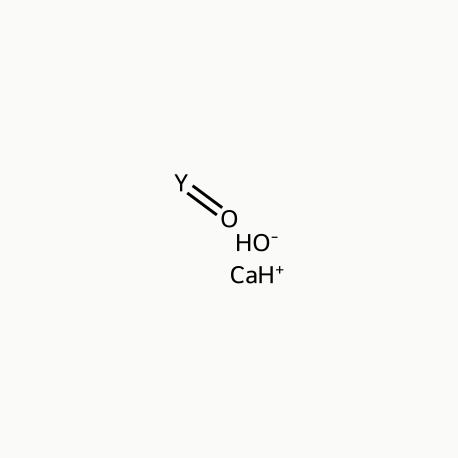 [CaH+].[OH-].[O]=[Y]